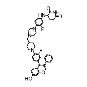 O=C1CCC(Nc2ccc(N3CCN(CC4CCN(c5ccc([C@@H]6c7ccc(O)cc7OC[C@@H]6c6ccccc6)cc5F)CC4)CC3)c(F)c2)C(=O)N1